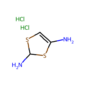 Cl.Cl.NC1=CSC(N)S1